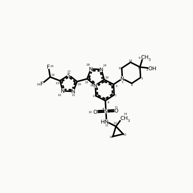 CC1(O)CCN(c2cc(S(=O)(=O)NC3(C)CC3)cn3c(-c4nnc(C(F)F)s4)nnc23)CC1